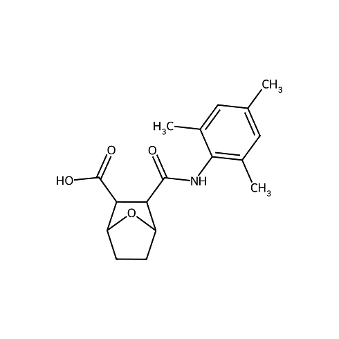 Cc1cc(C)c(NC(=O)C2C3CCC(O3)C2C(=O)O)c(C)c1